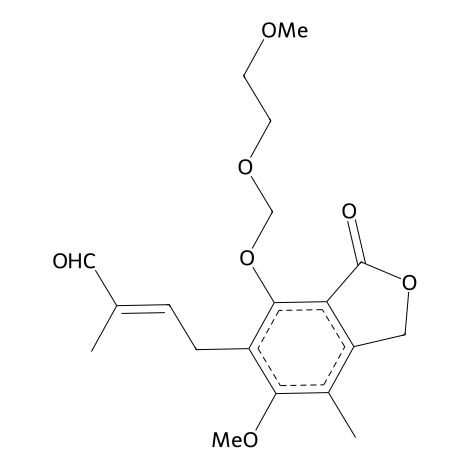 COCCOCOc1c(C/C=C(\C)C=O)c(OC)c(C)c2c1C(=O)OC2